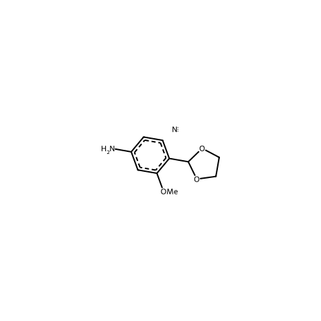 COc1cc(N)ccc1C1OCCO1.[N]